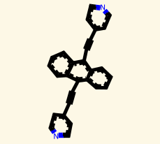 C(#Cc1c2ccccc2c(C#Cc2ccncc2)c2ccccc12)c1ccncc1